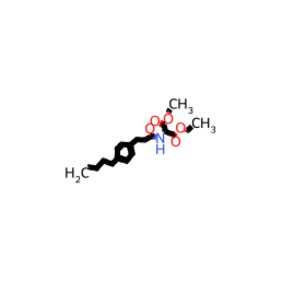 C=CCCCc1ccc(CCC(=O)NC(C(=O)OCC)C(=O)OCC)cc1